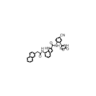 N#Cc1ccc(NC(=O)c2cc3cccc(NC(=O)Cc4ccc5ccccc5c4)c3[nH]2)c(-c2noc(=O)[nH]2)c1